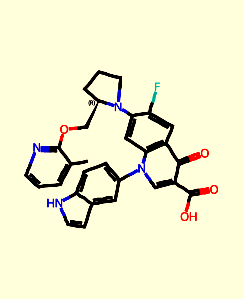 Cc1cccnc1OC[C@H]1CCCN1c1cc2c(cc1F)c(=O)c(C(=O)O)cn2-c1ccc2[nH]ccc2c1